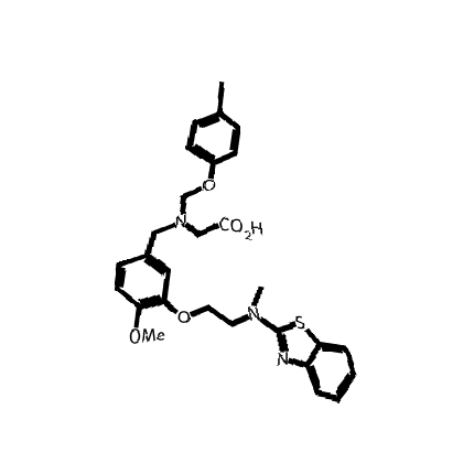 COc1ccc(CN(COc2ccc(C)cc2)CC(=O)O)cc1OCCN(C)c1nc2ccccc2s1